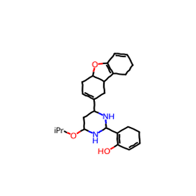 CC(C)OC1CC(C2=CCC3OC4=C(CCC=C4)C3C2)NC(C2=C(O)C=CCC2)N1